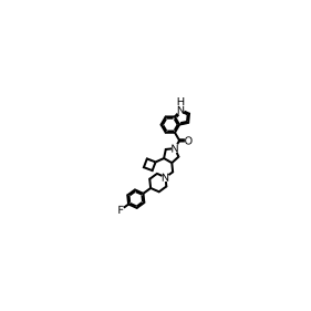 O=C(c1cccc2[nH]ccc12)N1CC(CN2CCC(c3ccc(F)cc3)CC2)C(C2CCC2)C1